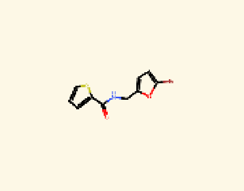 O=C(NCc1ccc(Br)o1)c1cccs1